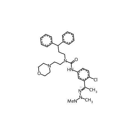 CNN(C)/N=C(\C)c1cc(NC(=O)N(CCC(c2ccccc2)c2ccccc2)CCN2CCOCC2)ccc1Cl